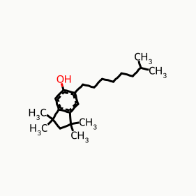 CC(C)CCCCCCc1cc2c(cc1O)C(C)(C)CC2(C)C